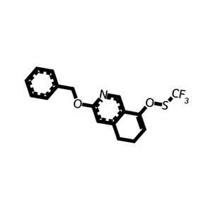 FC(F)(F)SOC1=CCCc2cc(OCc3ccccc3)ncc21